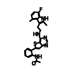 CC(=O)Nc1ccccc1-c1cc2ncnc(NCCc3c(C)[nH]c4c(F)ccc(C)c34)c2s1